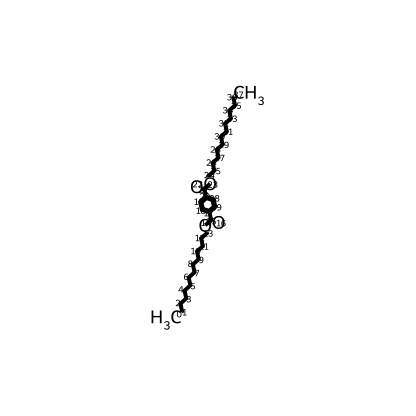 CCCCCCCCCCCCCCOC(=O)c1ccc(C(=O)OCCCCCCCCCCCCCC)cc1